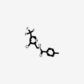 Cc1ccc(C(=O)NCc2ncc(C(F)(F)F)cc2Cl)cc1